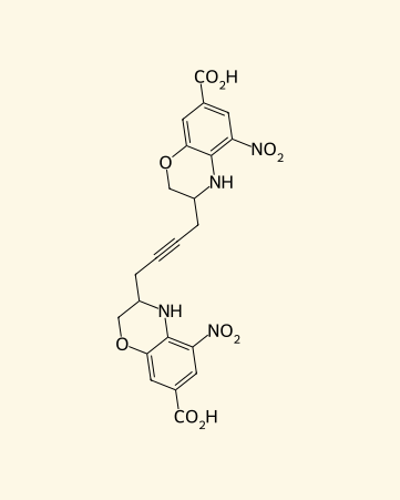 O=C(O)c1cc2c(c([N+](=O)[O-])c1)NC(CC#CCC1COc3cc(C(=O)O)cc([N+](=O)[O-])c3N1)CO2